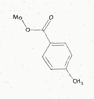 Cc1ccc(C(=O)[O][Mo])cc1